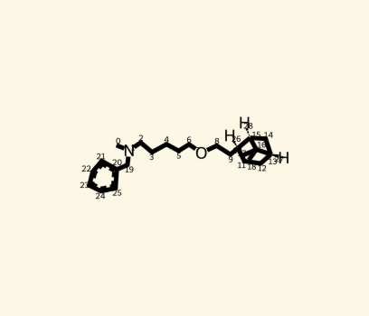 CN(CCCCCOCC[C@@H]1CC[C@H]2C[C@H]1C2(C)C)Cc1ccccc1